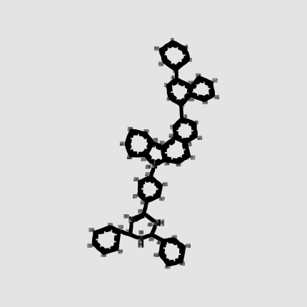 c1ccc(-c2ccc(-c3ccc4ccc5c(c4c3)c3ccccc3n5-c3ccc(C4=NC(c5ccccc5)NC(c5ccccc5)N4)cc3)c3ccccc23)cc1